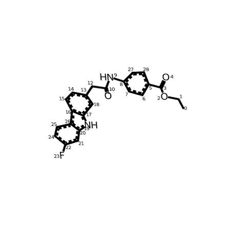 CCOC(=O)c1ccc(NC(=O)Cc2ccc3c(c2)[nH]c2cc(F)ccc23)cc1